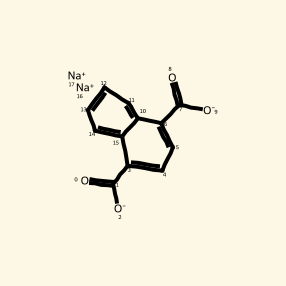 O=C([O-])c1ccc(C(=O)[O-])c2ccccc12.[Na+].[Na+]